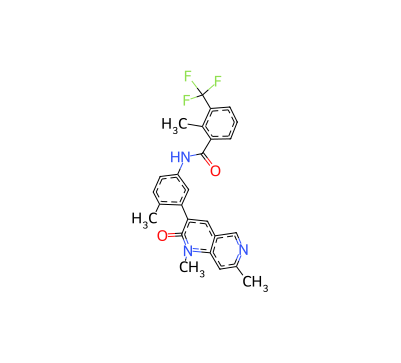 Cc1cc2c(cn1)cc(-c1cc(NC(=O)c3cccc(C(F)(F)F)c3C)ccc1C)c(=O)n2C